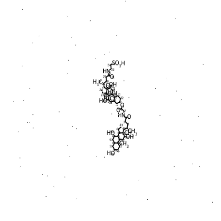 C[C@H](CCC(=O)NCC(=O)O[C@@H]1CC[C@@]2(C)C(C1)C[C@@H](O)[C@H]1[C@@H]3CC[C@H]([C@H](C)CCC(=O)NCCS(=O)(=O)O)[C@@]3(C)[C@@H](O)C[C@@H]12)[C@H]1CCC2C3C(C[C@H](O)[C@@]21C)[C@@]1(C)CC[C@@H](O)CC1C[C@H]3O